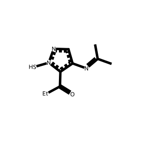 CCC(=O)c1c(N=C(C)C)cnn1S